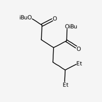 CCC(CC)CC(CC(=O)OCC(C)C)C(=O)OCC(C)C